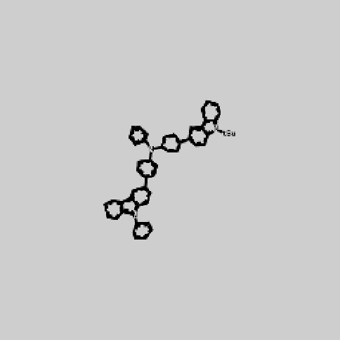 CC(C)(C)n1c2ccccc2c2cc(-c3ccc(N(c4ccccc4)c4ccc(-c5ccc6c(c5)c5ccccc5n6-c5ccccc5)cc4)cc3)ccc21